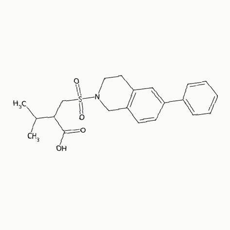 CC(C)C(CS(=O)(=O)N1CCc2cc(-c3ccccc3)ccc2C1)C(=O)O